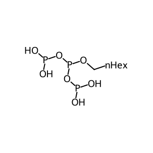 CCCCCCCOP(OP(O)O)OP(O)O